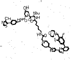 Cc1ncsc1-c1ccc(CNC(=O)[C@@H]2C[C@@H](O)CN2C(=O)[C@@H](NC(=O)CCCCCNC(=O)CN2CCC(n3cc(-c4cnc5cccc(-c6cc(F)c(CN7CCOCC7)c(F)c6)c5n4)cn3)CC2)C(C)(C)C)cc1